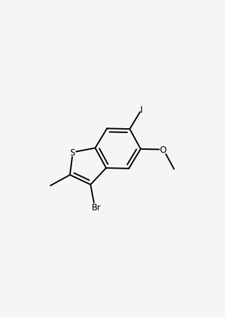 COc1cc2c(Br)c(C)sc2cc1I